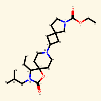 CCOC(=O)N1CCC2(CC(N3CCC4(CC3)OC(=O)N(CC(C)C)C4CC)C2)C1